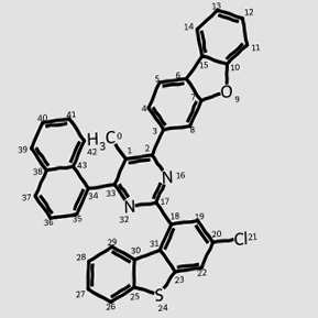 Cc1c(-c2ccc3c(c2)oc2ccccc23)nc(-c2cc(Cl)cc3sc4ccccc4c23)nc1-c1cccc2ccccc12